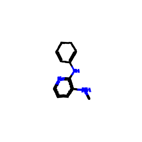 CNc1cccnc1NC1=CCCC=C1